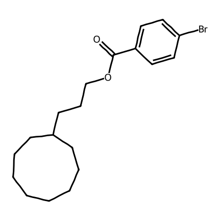 O=C(OCCCC1CCCCCCCC1)c1ccc(Br)cc1